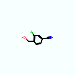 N#Cc1ccc(CO)c(Cl)c1